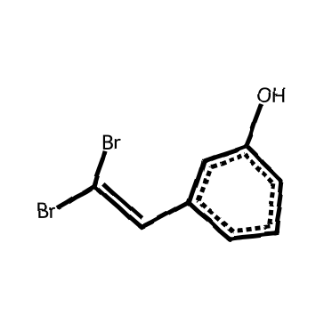 Oc1cccc(C=C(Br)Br)c1